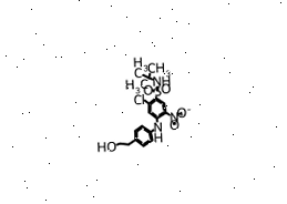 CC(C)(C)NS(=O)(=O)c1cc([N+](=O)[O-])c(Nc2ccc(CCO)cc2)cc1Cl